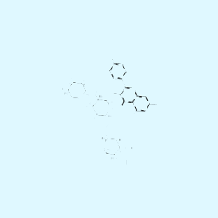 C[C@@H]1O[C@@H](OC[C@H]2O[C@@H](Oc3c(-c4ccc(O)cc4)oc4cc(O)cc(O)c4c3=O)[C@H](O[C@@H]3OC[C@@H](O)[C@H](O)[C@H]3O)[C@@H](O)[C@@H]2O)[C@H](O)[C@H](O)[C@H]1O